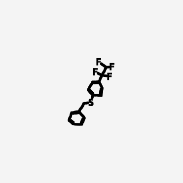 FC(F)C(F)(F)c1ccc(SCc2ccccc2)cc1